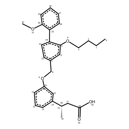 CCCCOc1cc(COc2cccc([C@@H](C)CC(=O)O)c2)ccc1-c1ccccc1OC